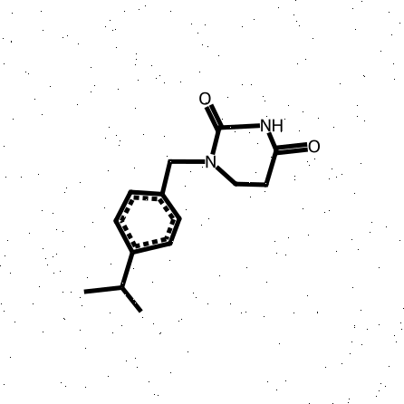 CC(C)c1ccc(CN2CCC(=O)NC2=O)cc1